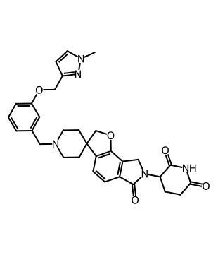 Cn1ccc(COc2cccc(CN3CCC4(CC3)COc3c4ccc4c3CN(C3CCC(=O)NC3=O)C4=O)c2)n1